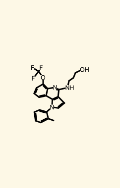 Cc1ccccc1-n1ccc2c(NCCCO)nc3c(OC(F)(F)F)cccc3c21